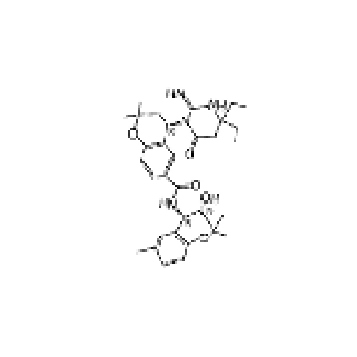 CCC1(CC)CC(=O)N([C@@H]2CC(C)(C)Oc3ccc(C(=O)N[C@@H]4c5cc(C)ccc5OC(C)(C)[C@H]4O)cc32)C(=N)N1